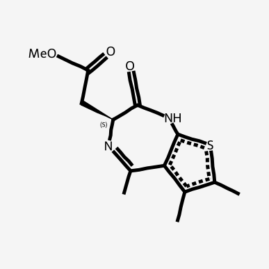 COC(=O)C[C@@H]1N=C(C)c2c(sc(C)c2C)NC1=O